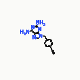 C#Cc1ccc(Cn2cnc3c(N)nc(N)nc32)cc1